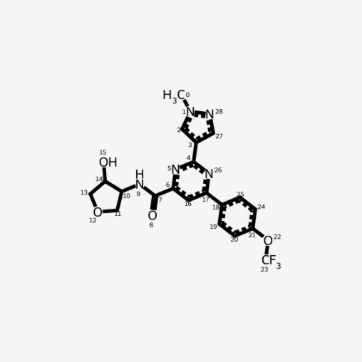 Cn1cc(-c2nc(C(=O)NC3COCC3O)cc(-c3ccc(OC(F)(F)F)cc3)n2)cn1